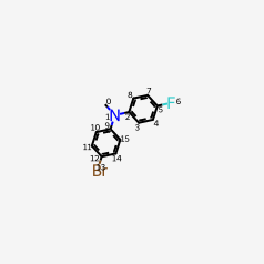 CN(c1ccc(F)cc1)c1ccc(Br)cc1